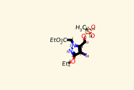 CCOC(=O)Cn1nc(OCC)c(I)c1COS(C)(=O)=O